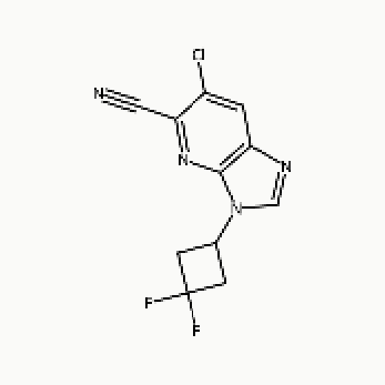 N#Cc1nc2c(cc1Cl)ncn2C1CC(F)(F)C1